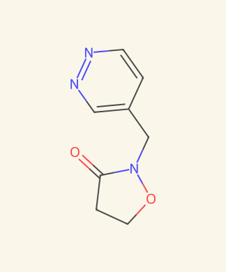 O=C1CCON1Cc1ccnnc1